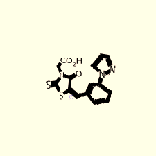 O=C(O)CN1C(=O)/C(=C\c2cccc(-n3cccn3)c2)SC1=S